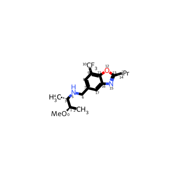 CO[C@H](C)[C@H](C)NCc1cc(C(F)(F)F)c2oc(C(C)C)nc2c1